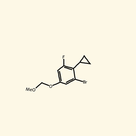 COCOc1cc(F)c(C2CC2)c(Br)c1